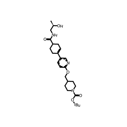 C[C@@H](O)CNC(=O)C1CC=C(c2ccc(OCC3CCN(C(=O)OC(C)(C)C)CC3)nc2)CC1